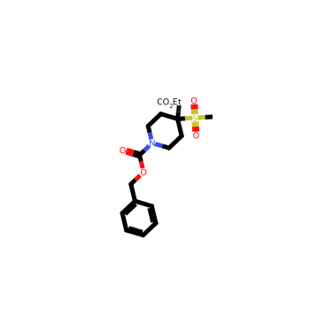 CCOC(=O)C1(S(C)(=O)=O)CCN(C(=O)OCc2ccccc2)CC1